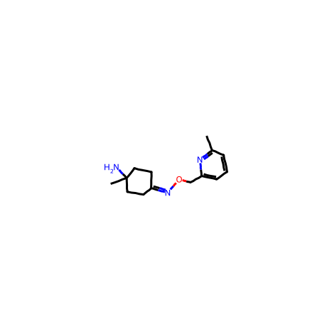 Cc1cccc(CON=C2CCC(C)(N)CC2)n1